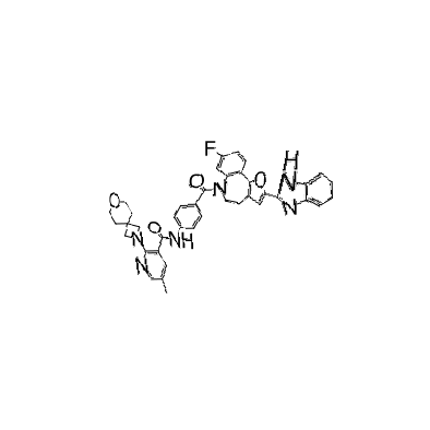 Cc1cnc(N2CC3(CCOCC3)C2)c(C(=O)Nc2ccc(C(=O)N3CCc4cc(-c5nc6ccccc6[nH]5)oc4-c4ccc(F)cc43)cc2)c1